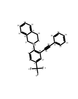 FC(F)(F)c1ccc(N2CCc3ccccc3C2)c(C#Cc2ccccc2)c1